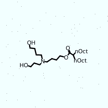 CCCCCCCCC(CCCCCCCC)C(=O)OCCCCN(CCCO)CCCCO